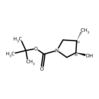 C[C@H]1CN(C(=O)OC(C)(C)C)C[C@@H]1O